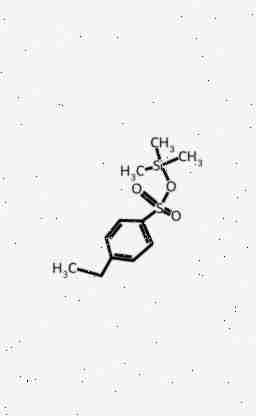 CCc1ccc(S(=O)(=O)O[Si](C)(C)C)cc1